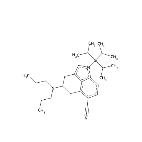 CCCN(CCC)C1Cc2cn([Si](C(C)C)(C(C)C)C(C)C)c3ccc(C#N)c(c23)C1